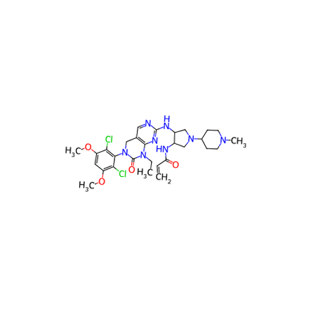 C=CC(=O)NC1CN(C2CCN(C)CC2)CC1Nc1ncc2c(n1)N(CC)C(=O)N(c1c(Cl)c(OC)cc(OC)c1Cl)C2